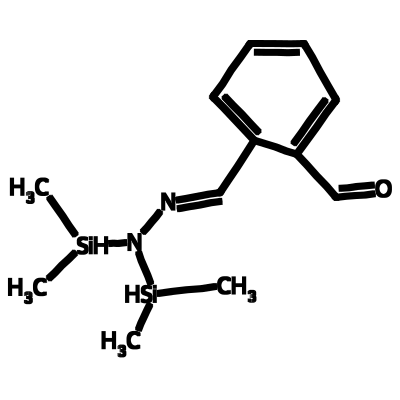 C[SiH](C)N(N=Cc1ccccc1C=O)[SiH](C)C